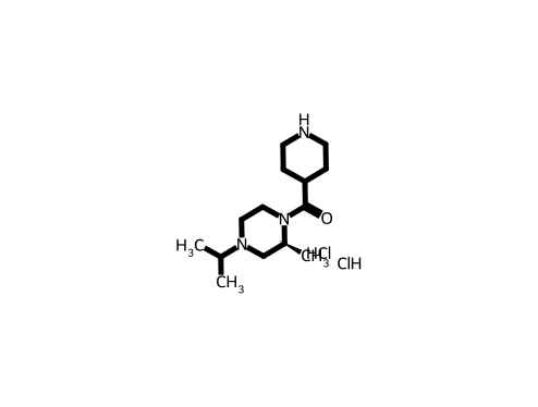 CC(C)N1CCN(C(=O)C2CCNCC2)[C@@H](C)C1.Cl.Cl